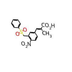 C/C(=C\c1ccc([N+](=O)[O-])c(CS(=O)(=O)c2ccccc2)c1)C(=O)O